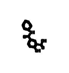 O=C(Nc1ccccc1)c1ccc(O)c(C(=O)O)c1